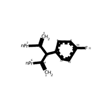 C=C(CCC)C(C(=C)CCC)c1ccc(F)cc1